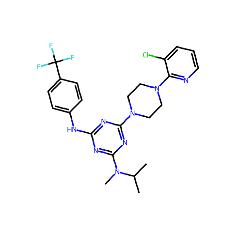 CC(C)N(C)c1nc(Nc2ccc(C(F)(F)F)cc2)nc(N2CCN(c3ncccc3Cl)CC2)n1